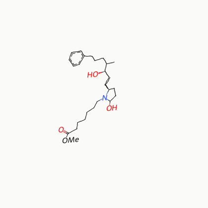 COC(=O)CCCCCCN1C(O)CC[C@@H]1/C=C/[C@@H](O)C(C)CCCc1ccccc1